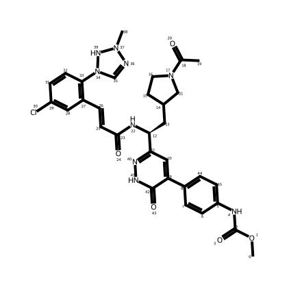 COC(=O)Nc1ccc(-c2cc([C@H](CC3CCN(C(C)=O)C3)NC(=O)/C=C/c3cc(Cl)ccc3N3C=NN(C)N3)n[nH]c2=O)cc1